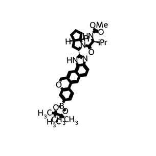 COC(=O)N[C@H](C(=O)N1[C@H](c2nc3ccc4cc5c(cc4c3[nH]2)COc2cc(B3OC(C)(C)C(C)(C)O3)ccc2-5)C[C@@H]2CCC[C@@H]21)C(C)C